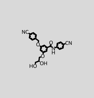 N#Cc1ccc(COc2cc(OC[C@@H](O)CO)cc(C(=O)Nc3ccc(C#N)cc3)c2)cc1